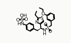 CCOc1cccc(CS(=O)(=O)N[C@@H](Cc2ccc(NS(=O)(=O)O)cc2)c2csc(CC)n2)c1